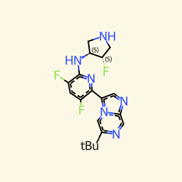 CC(C)(C)c1cn2c(-c3nc(N[C@H]4CNC[C@@H]4F)c(F)cc3F)cnc2cn1